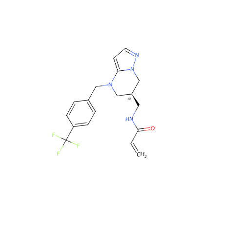 C=CC(=O)NC[C@H]1CN(Cc2ccc(C(F)(F)F)cc2)c2ccnn2C1